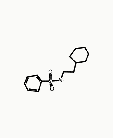 O=S(=O)([N]CCC1CCCCC1)c1ccccc1